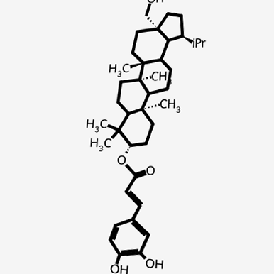 CC(C)[C@@H]1CC[C@]2(CO)CC[C@]3(C)C(CCC4[C@@]5(C)CC[C@H](OC(=O)/C=C/c6ccc(O)c(O)c6)C(C)(C)C5CC[C@]43C)C12